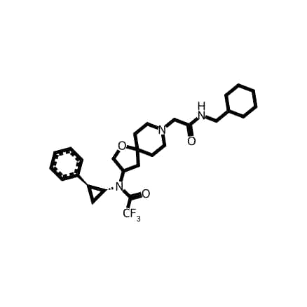 O=C(CN1CCC2(CC1)CC(N(C(=O)C(F)(F)F)[C@@H]1C[C@H]1c1ccccc1)CO2)NCC1CCCCC1